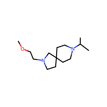 COCCN1CCC2(CCN(C(C)C)CC2)C1